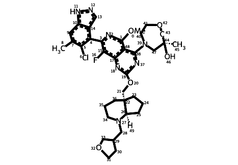 COc1nc(-c2c(Cl)c(C)cc3[nH]ncc23)c(F)c2nc(OC[C@]34CCC[C@H]3N(CC3CCOC3)CCC4)nc(N3CCOC[C@@](C)(O)C3)c12